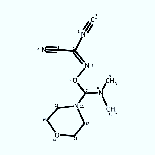 [C-]#[N+]/C(C#N)=N/OC(N(C)C)N1CCOCC1